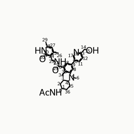 CC(=O)N[C@H]1CC[C@@H](N(C)c2cc(-c3ccc(CO)nc3)cc(C(=O)NCc3c(C)cc(C)[nH]c3=O)c2C)CC1